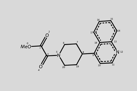 COC(=O)C(=O)N1CCC(c2ccnc3ccccc23)CC1